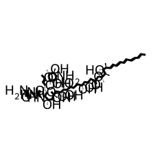 C/C=C/C=C/C=C/C=C/C=C/[C@H](C)[C@@H](O)[C@@H](C)[C@H](C)OC(=O)C[C@H](O)C[C@H](O)CC[C@@H](O)[C@H](O)C[C@H](O)C[C@]1(O)C[C@H](O)[C@@H](NC(=O)NNC(N)=O)[C@H](C[C@H](/C=C/C)O[C@@H]2O[C@H](C)[C@@H](O)[C@H](N)[C@@H]2O)O1